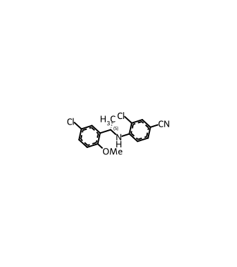 COc1ccc(Cl)cc1[C@H](C)Nc1ccc(C#N)cc1Cl